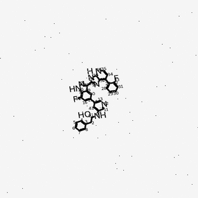 OC(Cc1ccccc1)Nc1cncc(-c2cc(F)c3[nH]nc(-c4nc5c(-c6ccccc6F)ccnc5[nH]4)c3c2)c1